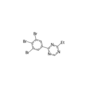 CCc1ncnc(-c2cc(Br)c(Br)c(Br)c2)n1